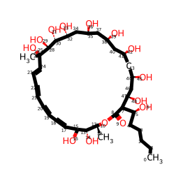 CCCCC[C@H](O)C1C(=O)O[C@@H](C)[C@H](O)C(O)/C=C/C=C/C=C/C=C/C(C)(O)[C@@H](O)[C@H](O)[C@H](O)C[C@@H](O)C[C@@H](O)C[C@@H](O)C[C@@H](O)C[C@H]1O